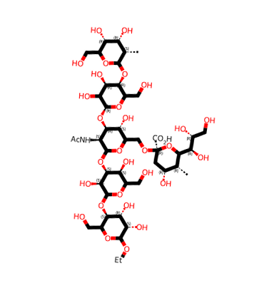 CCOC1OC(CO)[C@@H](OC2OC(CO)[C@H](O)[C@H](OC3OC(CO[C@]4(C(=O)O)C[C@@H](O)[C@@H](C)C([C@H](O)[C@H](O)CO)O4)[C@@H](O)[C@H](O[C@@H]4OC(CO)[C@H](OC5OC(CO)[C@H](O)[C@H](O)[C@@H]5C)[C@H](O)C4O)[C@@H]3NC(C)=O)[C@@H]2O)[C@H](O)[C@@H]1O